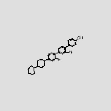 CCc1cc(-c2ccc(C3CCC(C4CCCCC4)CC3)cc2F)ccc1-c1ccc(O)cc1